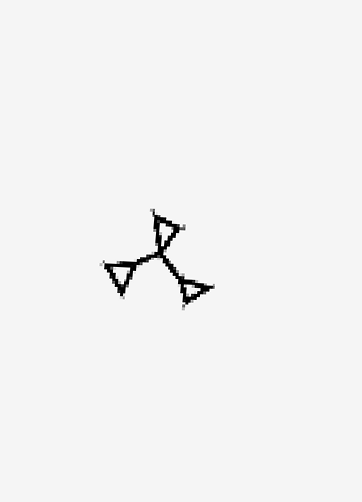 C1CC1C1(C2CC2)CC1